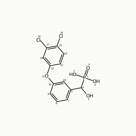 O=P(O)(O)C(O)c1cccc(Oc2ccc(Cl)c(Cl)c2)c1